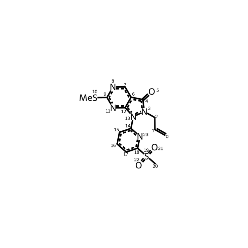 C=CCn1c(=O)c2cnc(SC)nc2n1-c1cccc(S(C)(=O)=O)n1